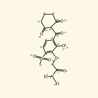 CCN(CC)C(=O)COc1c(S(C)(=O)=O)ccc(C(=O)C2C(=O)CCCC2=O)c1C(F)(F)F